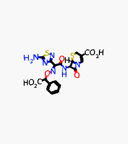 Nc1nc(C(=NOC(C(=O)O)c2ccccc2)C(=O)NC2C(=O)N3C=C(C(=O)O)CS[C@H]23)ns1